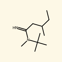 CCC(C)CC(=N)N(C)C(C)(C)C